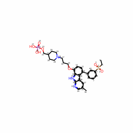 CCS(=O)(=O)c1cccc(-c2ccc(OCCCN3CCC(COP(=O)(O)O)CC3)c3[nH]c4ncc(C)cc4c23)c1